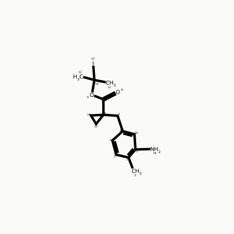 Cc1ccc(CC2(C(=O)OC(C)(C)I)CC2)cc1N